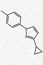 Cc1ccc(-n2ccc(C3CC3)n2)cc1